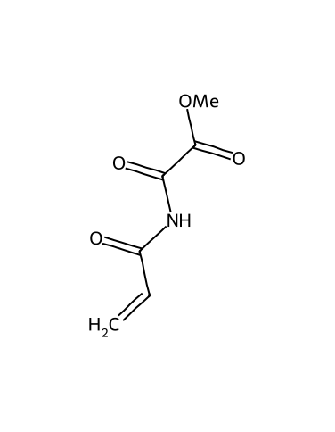 C=CC(=O)NC(=O)C(=O)OC